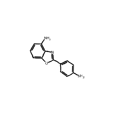 Nc1ccc(-c2nc3c(N)cccc3o2)cc1